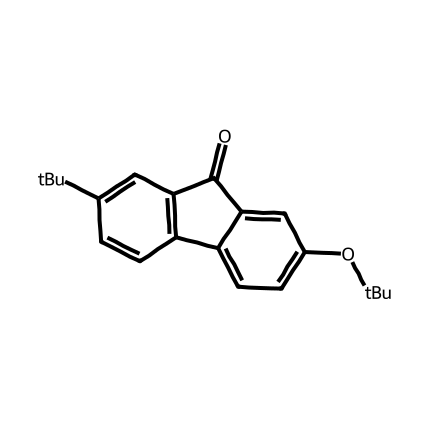 CC(C)(C)Oc1ccc2c(c1)C(=O)c1cc(C(C)(C)C)ccc1-2